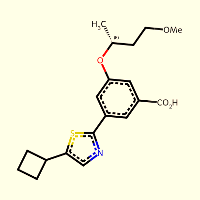 COCC[C@@H](C)Oc1cc(C(=O)O)cc(-c2ncc(C3CCC3)s2)c1